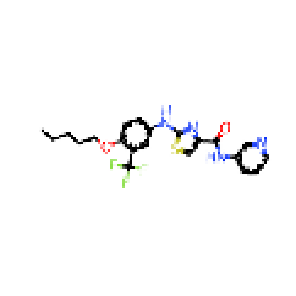 CCCCCOc1ccc(Nc2nc(C(=O)Nc3cccnc3)cs2)cc1C(F)(F)F